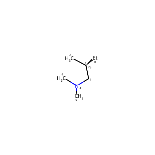 CC[C@H](C)CN(C)C